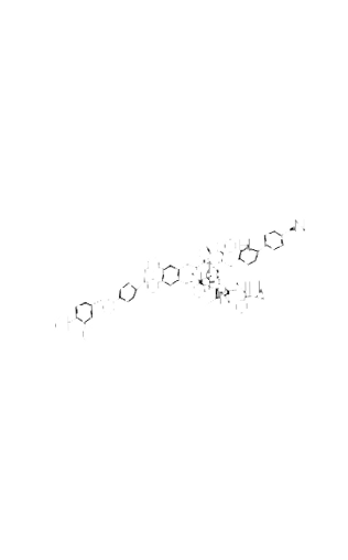 Cc1nc(NC(=O)C2CC2)sc1S(=O)(=O)N1Cc2cc3c(cc2CC1C(=O)NC(Cc1ccc(-c2ccc(C#N)cc2)cc1)C(=O)O)OCC(c1ccc(OCc2ccc(Cl)c(Cl)c2)cc1)O3